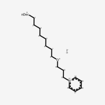 CCCCCCCCCCCCCCCCCCOCCC[n+]1ccccc1.[I-]